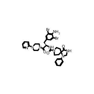 Nc1c(Br)cc(C[C@@H](NC(=O)N2CCC3(CC2)C(=O)NCN3c2ccccc2)C(=O)N2CCN(c3ccccn3)CC2)cc1Br